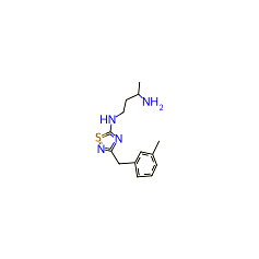 Cc1cccc(Cc2nsc(NCCC(C)N)n2)c1